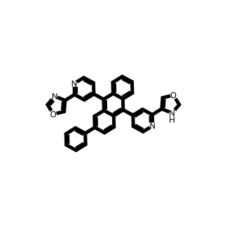 C1=C(c2cc(-c3c4ccccc4c(-c4ccnc(-c5cocn5)c4)c4cc(-c5ccccc5)ccc34)ccn2)NCO1